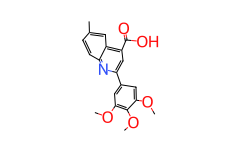 COc1cc(-c2cc(C(=O)O)c3cc(C)ccc3n2)cc(OC)c1OC